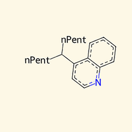 CCCCCC(CCCCC)c1ccnc2ccccc12